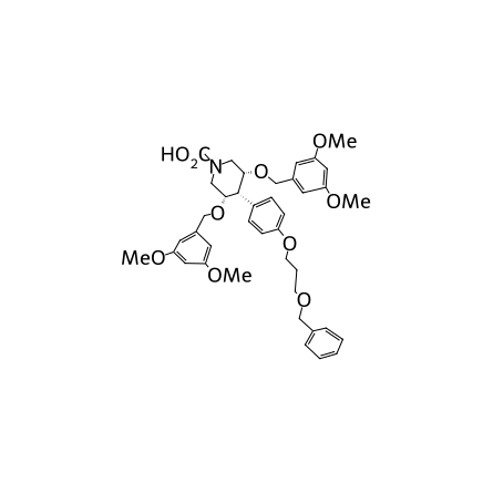 COc1cc(CO[C@H]2CN(C(=O)O)C[C@@H](OCc3cc(OC)cc(OC)c3)[C@H]2c2ccc(OCCCOCc3ccccc3)cc2)cc(OC)c1